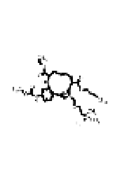 CCCCOC(=O)C1C/C=C/CC(C(=O)OCC)Nc2cc(NC(=O)OC)ccc2-c2cn(COCC[Si](C)(C)C)c1n2